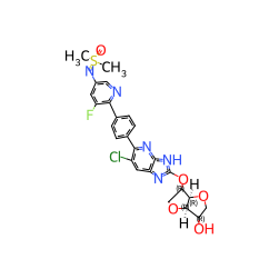 CS(C)(=O)=Nc1cnc(-c2ccc(-c3nc4[nH]c(O[C@@H]5CO[C@H]6[C@@H]5OC[C@H]6O)nc4cc3Cl)cc2)c(F)c1